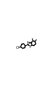 [CH2]c1c(C)ccc2sc(-c3ccc(Cl)cc3)nc12